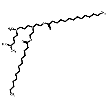 CCCCCCCCCCCCCC(=O)OCCN(CCCN(C)CCCN(C)C)CCOC(=O)CCCCCCCCCCCCC